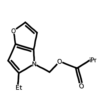 CCc1cc2occc2n1COC(=O)C(C)C